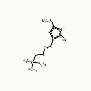 CCOC(=O)c1cn(COCC[Si](C)(C)C)c(Br)n1